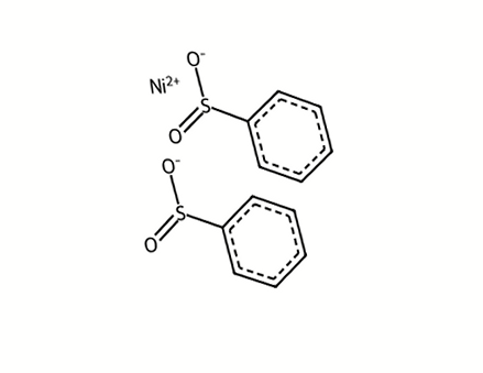 O=S([O-])c1ccccc1.O=S([O-])c1ccccc1.[Ni+2]